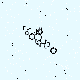 FC(F)Oc1ccc2c(c1)-n1nncc1Cc1c(C3=NC[C@H](c4ccccc4)O3)ncn1-2